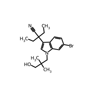 CCC(C#N)(CC)c1cn(CC(C)(C)CO)c2cc(Br)ccc12